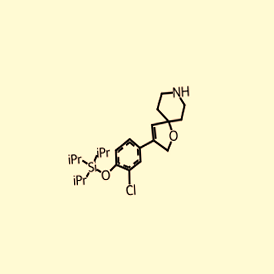 CC(C)[Si](Oc1ccc(C2=CC3(CCNCC3)OC2)cc1Cl)(C(C)C)C(C)C